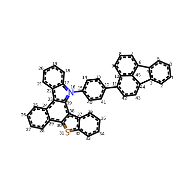 c1ccc2c(c1)-c1cccc3c(-c4ccc(-n5c6ccccc6c6c7ccccc7c7sc8ccccc8c7c65)cc4)ccc-2c13